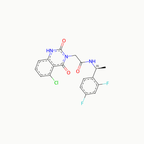 C[C@H](NC(=O)Cn1c(=O)[nH]c2cccc(Cl)c2c1=O)c1ccc(F)cc1F